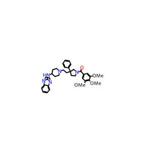 COc1cc(C(=O)N2CCC(CCN3CCC(NC4N5CCN4c4ccccc45)CC3)(c3ccccc3)C2)cc(OC)c1OC